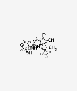 CC(c1c(C#N)c(F)c2cnc(N[C@@H]3CCOC[C@H]3O)nn12)C1(F)CCC1